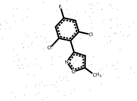 Cc1cc(-c2c(Cl)cc(F)cc2Cl)no1